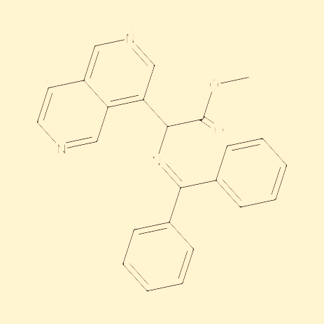 COC(=O)C(N=C(c1ccccc1)c1ccccc1)c1cncc2ccncc12